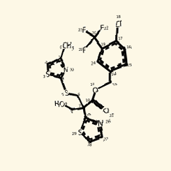 Cc1csc(SCC(CO)(C(=O)OCc2ccc(Cl)c(C(F)(F)F)c2)c2nccs2)n1